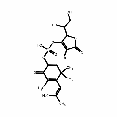 CC(C)=CC1=C(C)C(=O)C(OP(=O)(O)OC2=C(O)C(=O)OC2C(O)CO)CC1(C)C